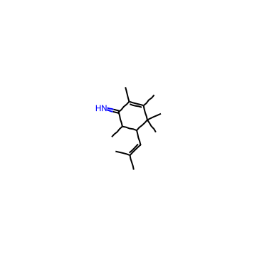 CC(C)=CC1C(C)C(=N)C(C)=C(C)C1(C)C